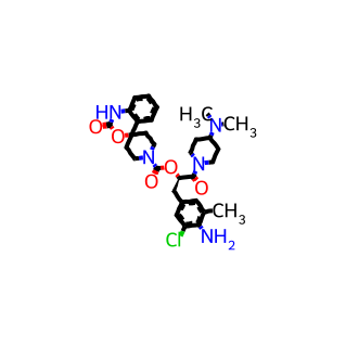 Cc1cc(C[C@@H](OC(=O)N2CCC3(CC2)OC(=O)Nc2ccccc23)C(=O)N2CCC(N(C)C)CC2)cc(Cl)c1N